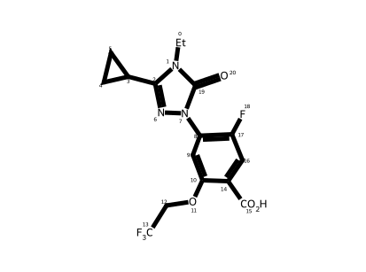 CCn1c(C2CC2)nn(-c2cc(OCC(F)(F)F)c(C(=O)O)cc2F)c1=O